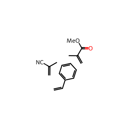 C=C(C)C#N.C=C(C)C(=O)OC.C=Cc1ccccc1